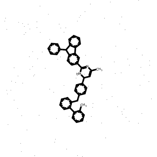 CC1=CC(c2ccc(Cc3ccccc3-c3ccccc3C)cc2)NC(c2ccc3c(c2)-c2ccccc2C3c2ccccc2)=N1